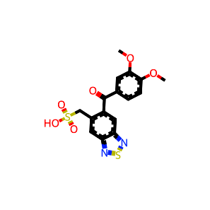 COc1ccc(C(=O)c2cc3nsnc3cc2CS(=O)(=O)O)cc1OC